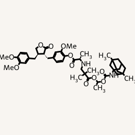 COc1ccc(C[C@H]2COC(=O)[C@@H]2Cc2ccc(OC(=O)[C@@H](C)NCC(C)(C)C(=O)OC(C)OC(=O)NC34CC5CC(C)(CC(C)(C5)C3)C4)c(OC)c2)cc1OC